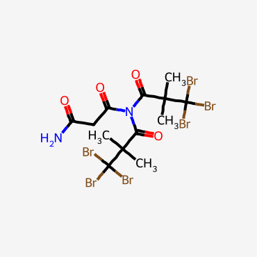 CC(C)(C(=O)N(C(=O)CC(N)=O)C(=O)C(C)(C)C(Br)(Br)Br)C(Br)(Br)Br